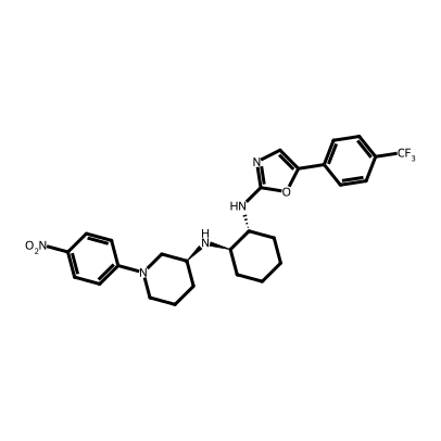 O=[N+]([O-])c1ccc(N2CCC[C@H](N[C@@H]3CCCC[C@H]3Nc3ncc(-c4ccc(C(F)(F)F)cc4)o3)C2)cc1